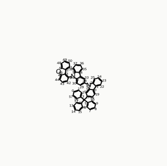 c1ccc(C(c2ccccc2)(c2ccccc2)c2ccc3c4ccccc4n(-c4ccc5c(c4)c4ccccc4n5-c4cccc5oc6ccccc6c45)c3c2)cc1